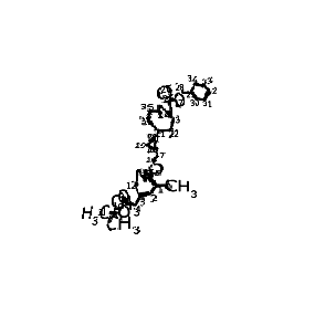 Cc1cc(CC(=O)OC(C)(C)C)cnc1OCC[C@@H]1C[C@@H]1C1CCN(C(=O)OCc2ccccc2)CC1